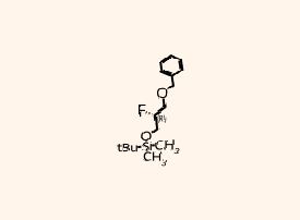 CC(C)(C)[Si](C)(C)OC[C@H](F)COCc1ccccc1